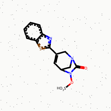 O=C1N2CC(c3nc4ccccc4s3)=CC(C2)N1OS(=O)(=O)O